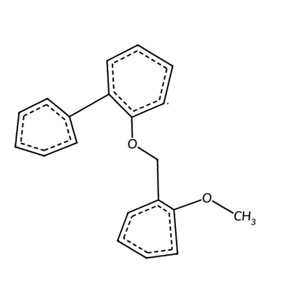 COc1ccccc1COc1[c]cccc1-c1ccccc1